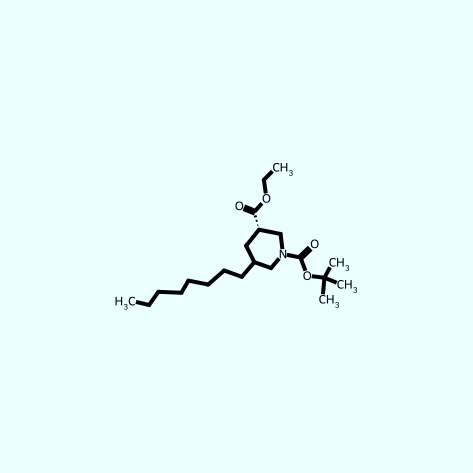 CCCCCCCCC1C[C@H](C(=O)OCC)CN(C(=O)OC(C)(C)C)C1